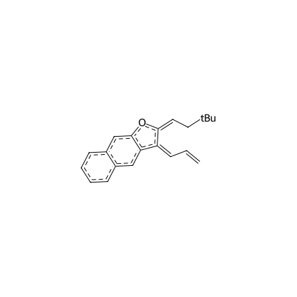 C=C/C=c1\c(=C/CC(C)(C)C)oc2cc3ccccc3cc12